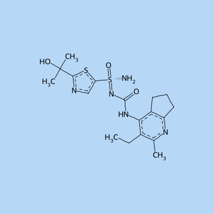 CCc1c(C)nc2c(c1NC(=O)N=[S@](N)(=O)c1cnc(C(C)(C)O)s1)CCC2